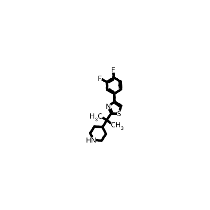 CC(C)(c1nc(-c2ccc(F)c(F)c2)cs1)C1CCNCC1